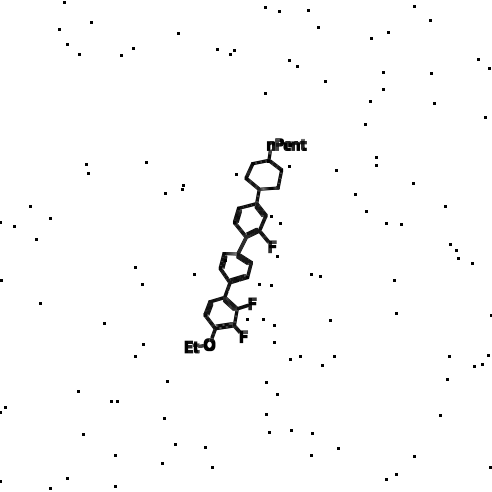 CCCCCC1CCC(c2ccc(-c3ccc(-c4ccc(OCC)c(F)c4F)cc3)c(F)c2)CC1